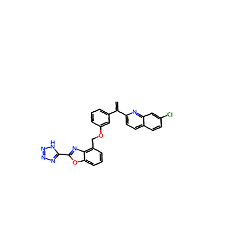 C=C(c1cccc(OCc2cccc3oc(-c4nnn[nH]4)nc23)c1)c1ccc2ccc(Cl)cc2n1